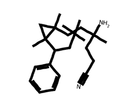 CC(C)(C)CC(c1ccccc1)C1(C)CC1(C)CCC(C)(N)CCC#N